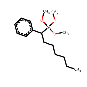 CCCCCCC(c1ccccc1)[Si](OC)(OC)OC